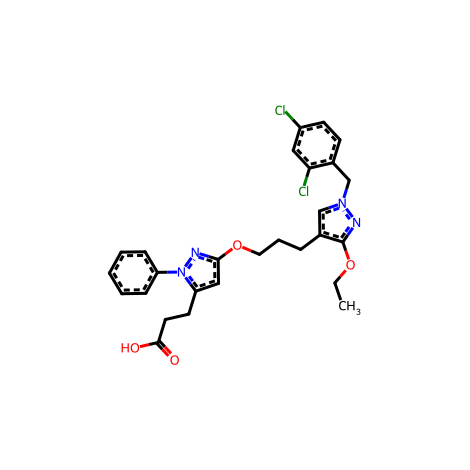 CCOc1nn(Cc2ccc(Cl)cc2Cl)cc1CCCOc1cc(CCC(=O)O)n(-c2ccccc2)n1